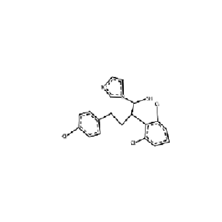 SC(C(CCc1ccc(Cl)cc1)c1c(Cl)cccc1Cl)n1ccnc1